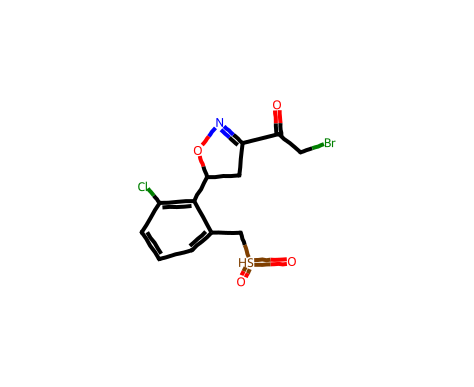 O=C(CBr)C1=NOC(c2c(Cl)cccc2C[SH](=O)=O)C1